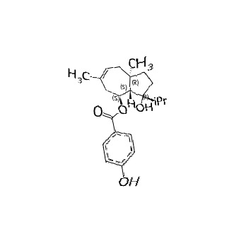 CC1=CC[C@@]2(C)CC[C@@](O)(C(C)C)[C@@H]2[C@@H](OC(=O)c2ccc(O)cc2)C1